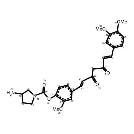 COc1ccc(C=CC(=O)CC(=O)C=Cc2ccc(OC(=O)N3CCC(N)C3)c(OC)c2)cc1OC